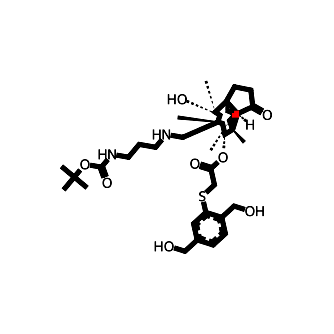 C[C@@H]1CC[C@@]23CCC(=O)[C@H]2[C@]1(C)[C@H](OC(=O)CSc1cc(CO)ccc1CO)C[C@](C)(CNCCCNC(=O)OC(C)(C)C)[C@@H](O)[C@@H]3C